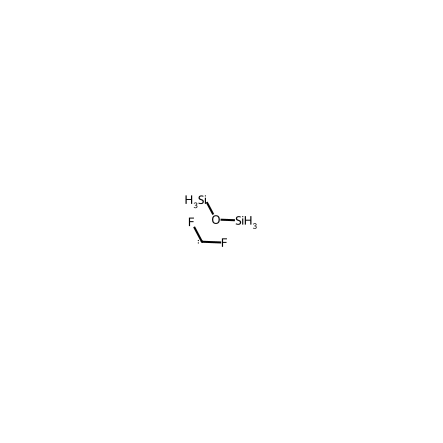 F[C]F.[SiH3]O[SiH3]